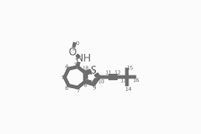 CONC1CCCCc2cc(C#CC(C)(C)C)sc21